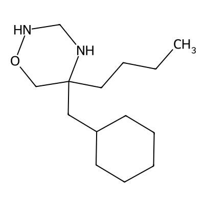 CCCCC1(CC2CCCCC2)CONCN1